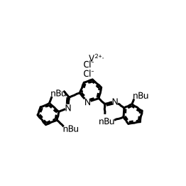 CCCCc1cccc(CCCC)c1N=C(C)c1cccc(C(C)=Nc2c(CCCC)cccc2CCCC)n1.[Cl-].[Cl-].[V+2]